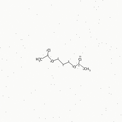 CC(Cl)OCCCOC(C)Cl